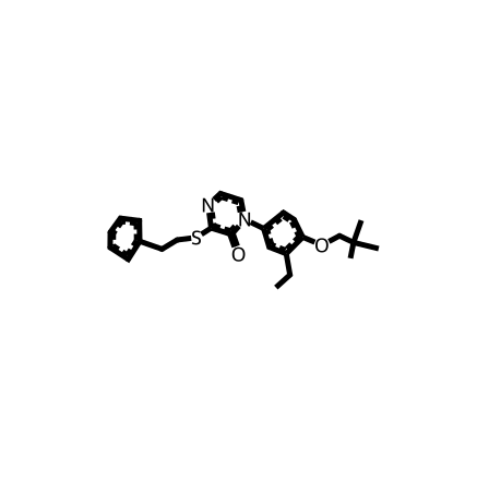 CCc1cc(-n2ccnc(SCCc3ccccc3)c2=O)ccc1OCC(C)(C)C